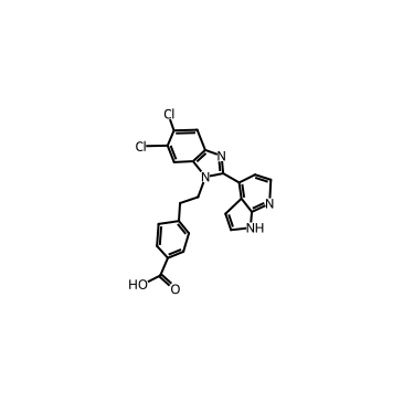 O=C(O)c1ccc(CCn2c(-c3ccnc4[nH]ccc34)nc3cc(Cl)c(Cl)cc32)cc1